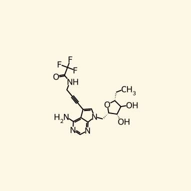 CC[C@H]1O[C@@H](Cn2cc(C#CCNC(=O)C(F)(F)F)c3c(N)ncnc32)[C@@H](O)C1O